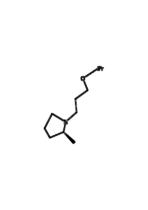 CC(C)OCCCN1CCC[C@@H]1C